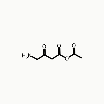 CC(=O)OC(=O)CC(=O)CN